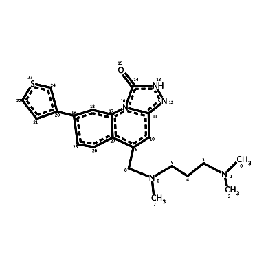 CN(C)CCCN(C)Cc1cc2n[nH]c(=O)n2c2cc(-c3ccsc3)ccc12